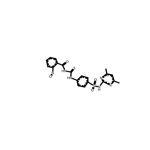 Cc1cc(C)nc(NS(=O)(=O)c2ccc(NC(=S)NC(=O)c3ccccc3N=O)cc2)n1